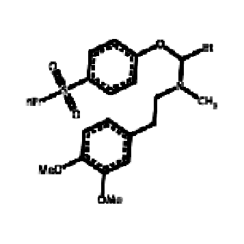 CCCS(=O)(=O)c1ccc(OC(CC)N(C)CCc2ccc(OC)c(OC)c2)cc1